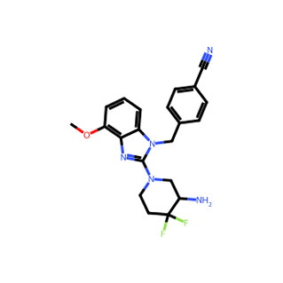 COc1cccc2c1nc(N1CCC(F)(F)C(N)C1)n2Cc1ccc(C#N)cc1